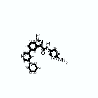 Nc1ncc(NC(=O)c2n[nH]c3ccc(-c4cncc(N5CCCCC5)c4)cc23)cn1